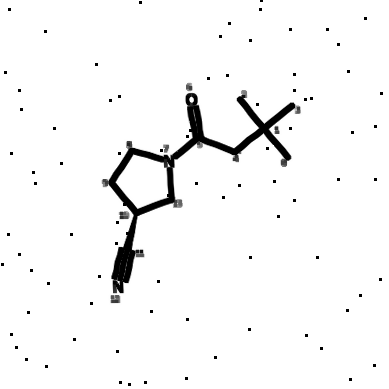 CC(C)(C)[CH]C(=O)N1CC[C@H](C#N)C1